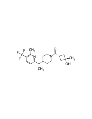 Cc1nc([C@@H](C)C2CCN(C(=O)[C@H]3C[C@@](C)(O)C3)CC2)ccc1C(F)(F)F